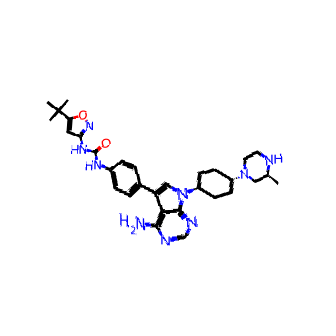 C[C@H]1CN([C@H]2CC[C@H](n3cc(-c4ccc(NC(=O)Nc5cc(C(C)(C)C)on5)cc4)c4c(N)ncnc43)CC2)CCN1